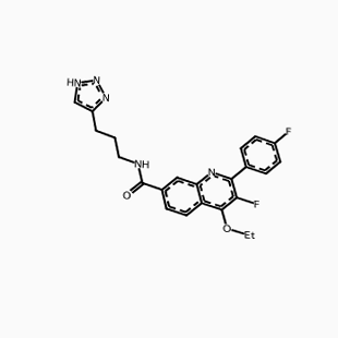 CCOc1c(F)c(-c2ccc(F)cc2)nc2cc(C(=O)NCCCc3c[nH]nn3)ccc12